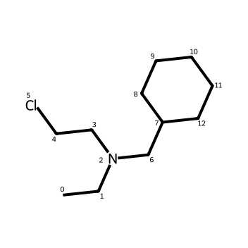 CCN(CCCl)CC1CCCCC1